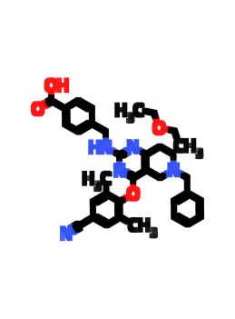 CCOCC.Cc1cc(C#N)cc(C)c1Oc1nc(NCc2ccc(C(=O)O)cc2)nc2c1CN(Cc1ccccc1)CC2